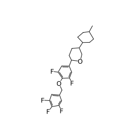 CC1CCC(C2CCC(c3cc(F)c(OCc4cc(F)c(F)c(F)c4)c(F)c3)OC2)CC1